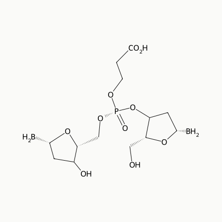 B[C@H]1CC(O)[C@@H](CO[P@](=O)(OCCC(=O)O)OC2C[C@H](B)O[C@@H]2CO)O1